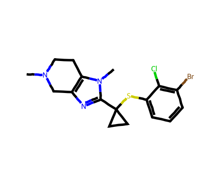 CN1CCc2c(nc(C3(Sc4cccc(Br)c4Cl)CC3)n2C)C1